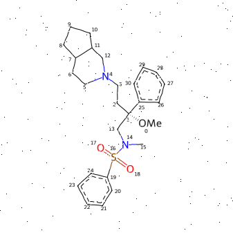 CO[C@@](CCN1CCC2CCCC2C1)(CN(C)S(=O)(=O)c1ccccc1)c1ccccc1